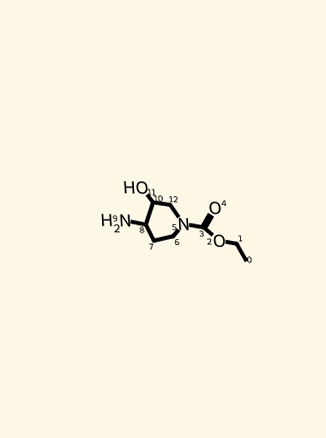 CCOC(=O)N1CCC(N)C(O)C1